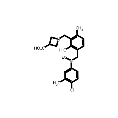 CCN(Cc1ccc(C)c(CN2CC(C(=O)O)C2)c1C)c1ccc(Cl)c(C)c1